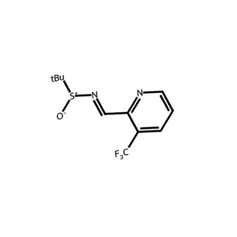 CC(C)(C)[S+]([O-])/N=C/c1ncccc1C(F)(F)F